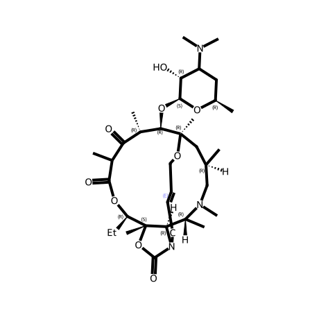 CC[C@H]1OC(=O)C(C)C(=O)[C@H](C)[C@@H](O[C@@H]2O[C@H](C)CC(N(C)C)[C@H]2O)[C@@]2(C)C[C@@H](C)CN(C)[C@H](C)[C@H]3N(C/C=C/CO2)C(=O)O[C@]13C